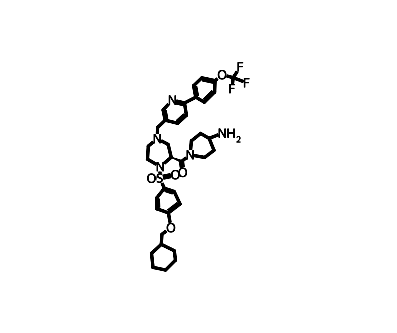 NC1CCN(C(=O)[C@@H]2CN(Cc3ccc(-c4ccc(OC(F)(F)F)cc4)nc3)CCN2S(=O)(=O)c2ccc(OCC3CCCCC3)cc2)CC1